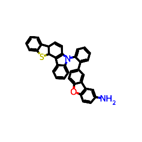 Nc1ccc2oc3ccc(-c4ccccc4-n4c5c(c6ccccc64)C4Sc6ccccc6C4C=C5)cc3c2c1